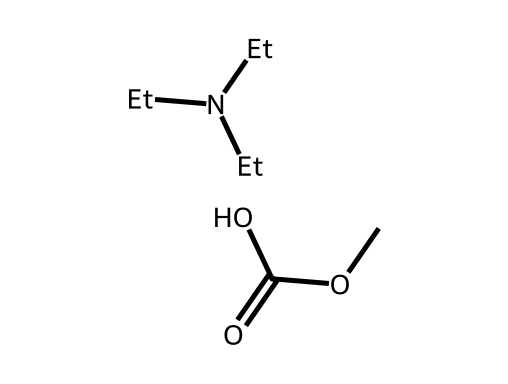 CCN(CC)CC.COC(=O)O